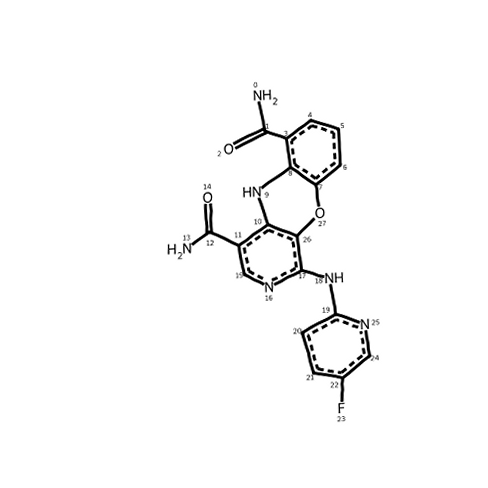 NC(=O)c1cccc2c1Nc1c(C(N)=O)cnc(Nc3ccc(F)cn3)c1O2